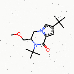 COCC1Cn2cc(C(C)(C)C)cc2C(=O)N1C(C)(C)C